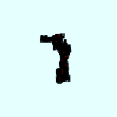 COc1ccc(F)cc1C(=O)NCc1ccc(-c2nn(C3CCN(CCN4CCN(c5ccc6c(c5)C(=O)N([C@H]5CCC(=O)NC5=O)C6=O)CC4)CC3)c3ncnc(N)c23)cc1